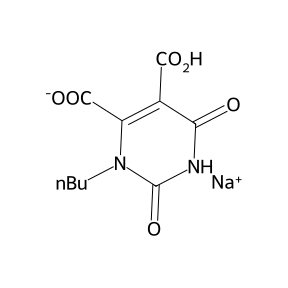 CCCCn1c(C(=O)[O-])c(C(=O)O)c(=O)[nH]c1=O.[Na+]